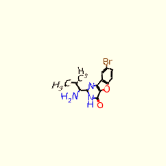 CC(C)[C@H](N)c1nc2c(oc3ccc(Br)cc32)c(=O)[nH]1